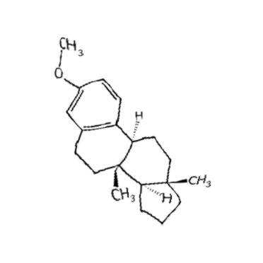 COc1ccc2c(c1)CC[C@]1(C)[C@@H]2CC[C@]2(C)CCC[C@H]21